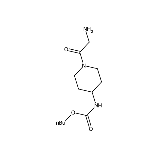 CCCCOC(=O)NC1CCN(C(=O)CN)CC1